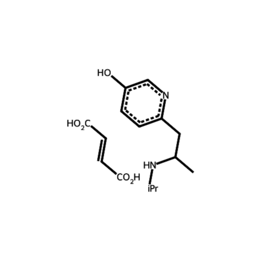 CC(C)NC(C)Cc1ccc(O)cn1.O=C(O)C=CC(=O)O